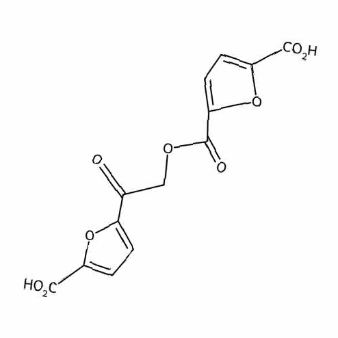 O=C(O)c1ccc(C(=O)COC(=O)c2ccc(C(=O)O)o2)o1